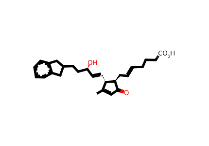 CC1=CC(=O)[C@H](CC=CCCCC(=O)O)[C@H]1C=C[C@@H](O)CCC1Cc2ccccc2C1